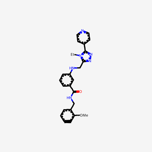 CCn1c(CNc2cccc(C(=O)NCc3ccc#cc3OC)c2)nnc1-c1ccncc1